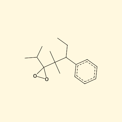 CCC(c1ccccc1)C(C)(C)C1(C(C)C)OO1